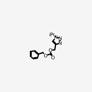 CC(C)n1cc(COC(=O)OCc2ccccc2)nn1